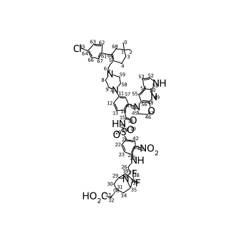 CC1(C)CCC(CN2CCN(c3ccc(C(=O)NS(=O)(=O)c4ccc(NCCN5C6C[C@H](CC(=O)O)CC5C(F)(F)C6)c([N+](=O)[O-])c4)c(N4CCOc5nc6[nH]ccc6cc54)c3)CC2)=C(c2ccc(Cl)cc2)C1